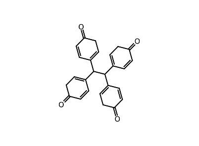 O=C1C=CC(C(C2=CCC(=O)C=C2)C(C2=CCC(=O)C=C2)C2=CCC(=O)C=C2)=CC1